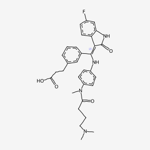 CN(C)CCCC(=O)N(C)c1ccc(N/C(=C2\C(=O)Nc3cc(F)ccc32)c2cccc(CCC(=O)O)c2)cc1